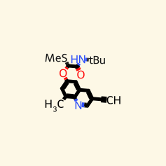 C#Cc1cnc2c(C)cc(OC(SC)C(=O)NC(C)(C)C)cc2c1